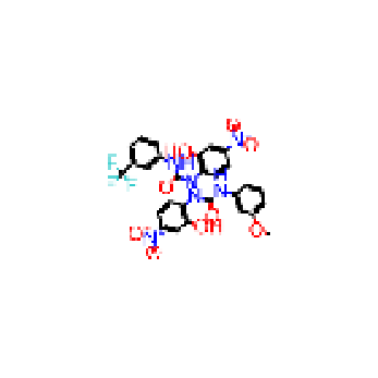 COc1cccc(NC(=O)N(c2ccc([N+](=O)[O-])cc2O)N(C(=O)Nc2cccc(C(F)(F)F)c2)c2ccc([N+](=O)[O-])cc2O)c1